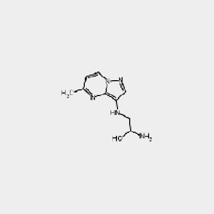 Cc1ccn2ncc(NCC(N)O)c2n1